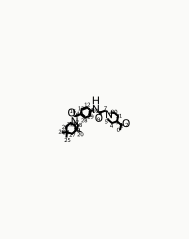 CC(=O)C1CCN(CC(=O)Nc2ccc(C(=O)N3C[C@@]4(C)CC3CC(C)(C)C4)cc2)CC1